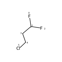 F[C](F)CCCl